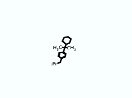 CC(C)Cc1ccc(C(C)(C)C2CCCCC2)cc1